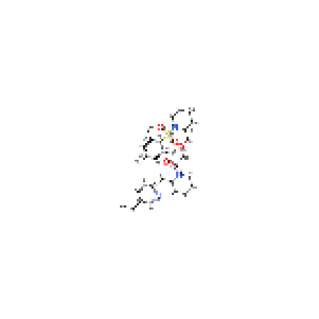 CCc1ccc(CC2CCCCN2C(=O)COCC2CCCCN2S(=O)(=O)c2c(C)cc(C)cc2C)nc1